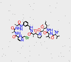 CC[C@H](C)[C@@H]([C@@H](CC(=O)N1CCC[C@H]1[C@H](OC)[C@@H](C)C(=O)NCCc1cccc(NC(=O)[C@H](C)NC(=O)[C@H](C)NC(=O)c2ccnc(CBr)n2)c1)OC)N(C)C(=O)[C@@H](NC(=O)[C@H](C(C)C)N(C)C)C(C)C